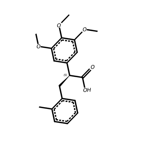 COc1cc([C@H](Cc2ccccc2C)C(=O)O)cc(OC)c1OC